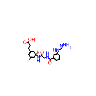 NN=CNc1cccc(C(=O)NCC(=O)NC2(Br)C=C(I)C=C(CCC(=O)O)C2)c1